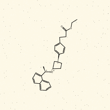 CCOC(=O)CCc1ccc([C@H]2CC[C@H](N[C@H](C)c3cccc4ccccc34)C2)cc1